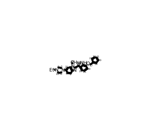 CCN1CCN(c2ccc3nc(-c4n[nH]c5c(OCc6ccccc6)cccc45)n(C)c3c2)CC1